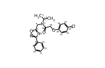 CC(C)N(Cc1nc(-c2ccccc2)no1)C(=O)COc1ccc(Cl)cc1